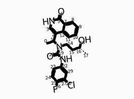 CC(c1c[nH]c(=O)c2ccccc12)N(CC[C@@H](C)O)C(=O)Nc1ccc(F)c(Cl)c1